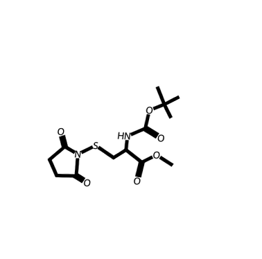 COC(=O)C(CSN1C(=O)CCC1=O)NC(=O)OC(C)(C)C